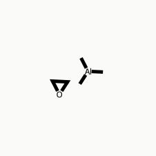 C1CO1.[CH3][Al]([CH3])[CH3]